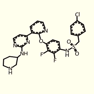 O=S(=O)(Cc1ccc(Cl)cc1)Nc1ccc(Oc2ncccc2-c2ccnc(NC3CCCNC3)n2)c(F)c1F